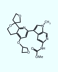 COC(=O)Nc1cc2c(-c3cc(OC4COC4)c4c(n3)C3(CCOC3)OCC4)cn(C)c2cn1